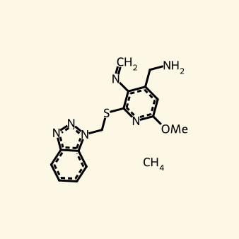 C.C=Nc1c(CN)cc(OC)nc1SCn1nnc2ccccc21